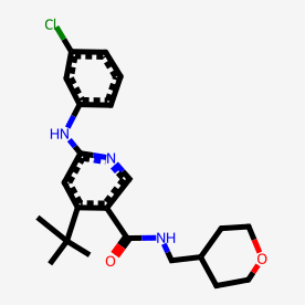 CC(C)(C)c1cc(Nc2cccc(Cl)c2)ncc1C(=O)NCC1CCOCC1